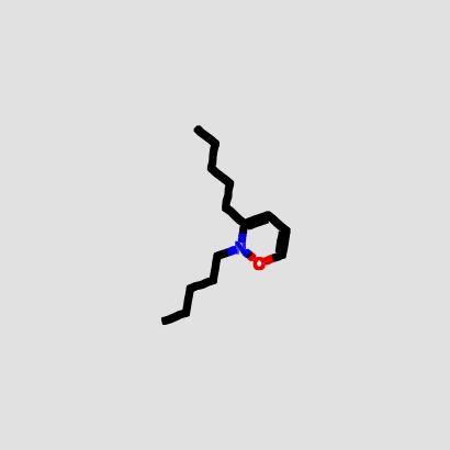 CCCCCC1=CC=CON1CCCCC